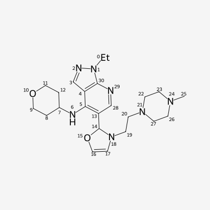 CCn1ncc2c(NC3CCOCC3)c(C3OC=CN3CCN3CCN(C)CC3)cnc21